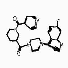 O=C(c1ccncc1)N1CCCC(C(=O)N2CCN(c3ccnc4cc(F)ccc34)CC2)C1